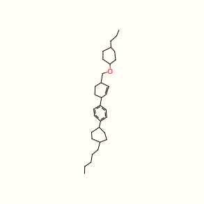 CCCCCC1CCC(c2ccc(C3C=CC(COC4CCC(CCC)CC4)CC3)cc2)CC1